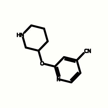 N#Cc1ccnc(OC2CCCNC2)c1